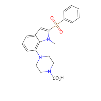 Cn1c(S(=O)(=O)c2ccccc2)cc2cccc(N3CCN(C(=O)O)CC3)c21